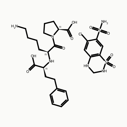 NCCCC[C@H](N[C@@H](CCc1ccccc1)C(=O)O)C(=O)N1CCC[C@H]1C(=O)O.NS(=O)(=O)c1cc2c(cc1Cl)NCNS2(=O)=O